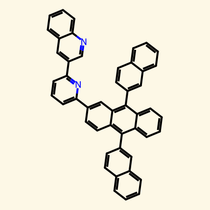 c1cc(-c2cnc3ccccc3c2)nc(-c2ccc3c(-c4ccc5ccccc5c4)c4ccccc4c(-c4ccc5ccccc5c4)c3c2)c1